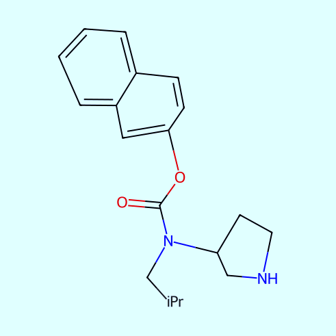 CC(C)CN(C(=O)Oc1ccc2ccccc2c1)C1CCNC1